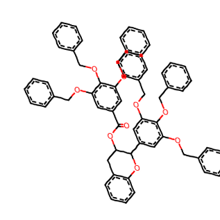 O=C(OC1Cc2ccccc2OC1c1cc(OCc2ccccc2)c(OCc2ccccc2)c(OCc2ccccc2)c1)c1cc(OCc2ccccc2)c(OCc2ccccc2)c(OCc2ccccc2)c1